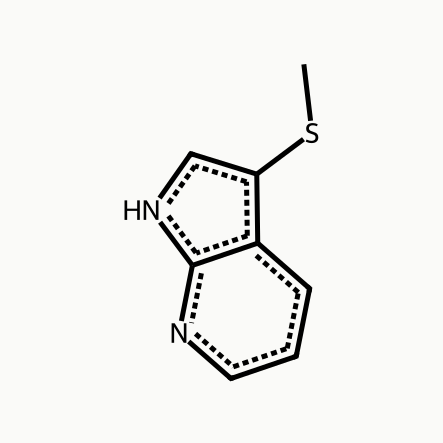 CSc1c[nH]c2ncccc12